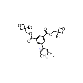 C=C/C(=C\C)c1cc(C(=O)OCC2(CC)COC2)cc(C(=O)OCC2(CC)COC2)c1